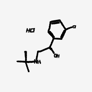 CC(C)(C)NCC(O)c1cccc(Cl)c1.Cl